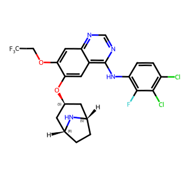 Fc1c(Nc2ncnc3cc(OCC(F)(F)F)c(O[C@@H]4C[C@H]5CC[C@@H](C4)N5)cc23)ccc(Cl)c1Cl